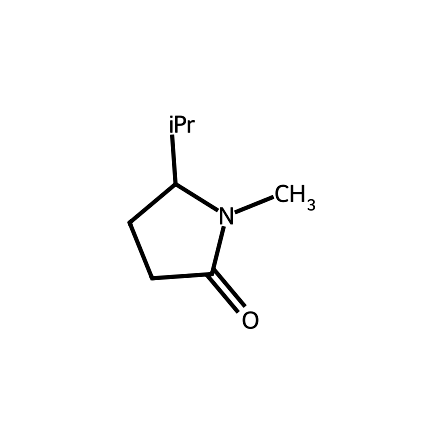 CC(C)C1CCC(=O)N1C